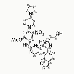 COc1cc(N2CCC(N3CCCC3)CC2)c([N+](=O)[O-])cc1Nc1nccc(-c2[nH]c(CCO)nc2-c2ccc3ccoc3c2)n1